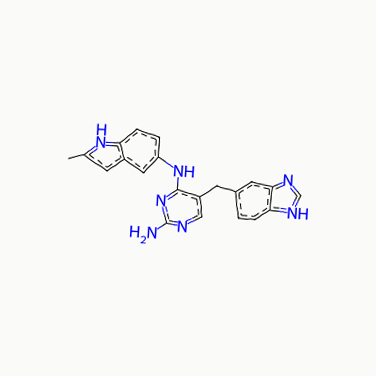 Cc1cc2cc(Nc3nc(N)ncc3Cc3ccc4[nH]cnc4c3)ccc2[nH]1